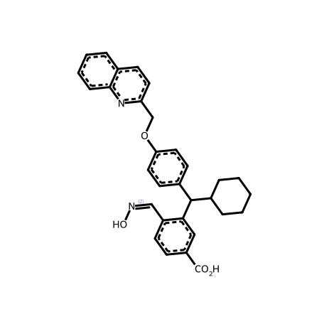 O=C(O)c1ccc(/C=N\O)c(C(c2ccc(OCc3ccc4ccccc4n3)cc2)C2CCCCC2)c1